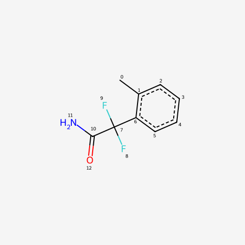 Cc1ccccc1C(F)(F)C(N)=O